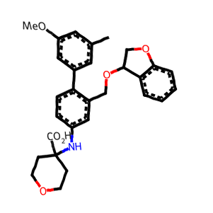 COc1cc(C)cc(-c2ccc(NC3(C(=O)O)CCOCC3)cc2COC2COc3ccccc32)c1